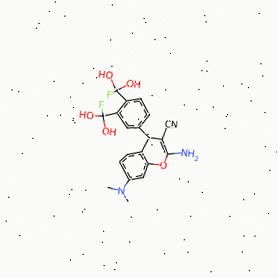 CN(C)c1ccc2c(c1)OC(N)=C(C#N)C2c1ccc(C(O)(O)F)c(C(O)(O)F)c1